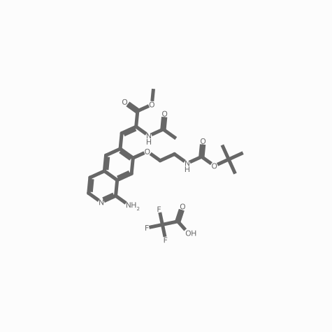 COC(=O)C(=Cc1cc2ccnc(N)c2cc1OCCNC(=O)OC(C)(C)C)NC(C)=O.O=C(O)C(F)(F)F